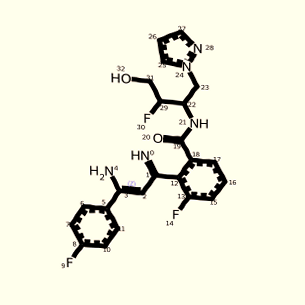 N=C(/C=C(\N)c1ccc(F)cc1)c1c(F)cccc1C(=O)NC(Cn1cccn1)C(F)CO